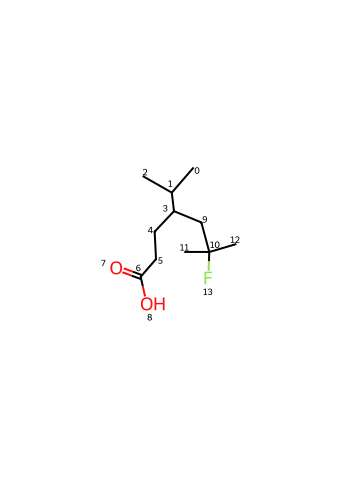 CC(C)C(CCC(=O)O)CC(C)(C)F